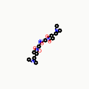 O=C1c2cccc3c(-c4ccc5c(c4)c4ccccc4n5Cc4ccccc4)ccc(c23)C(=O)N1c1ccc(-c2nnc(-c3ccc(N4C(=O)c5cccc6c(-c7ccc8c9ccccc9n(Cc9ccccc9)c8c7)ccc(c56)C4=O)cc3)o2)cc1